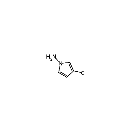 Nn1ccc(Cl)c1